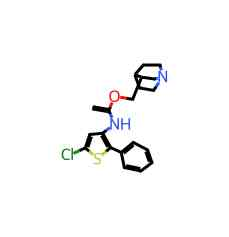 C=C(Nc1cc(Cl)sc1-c1ccccc1)OCC1CN2CCC1CC2